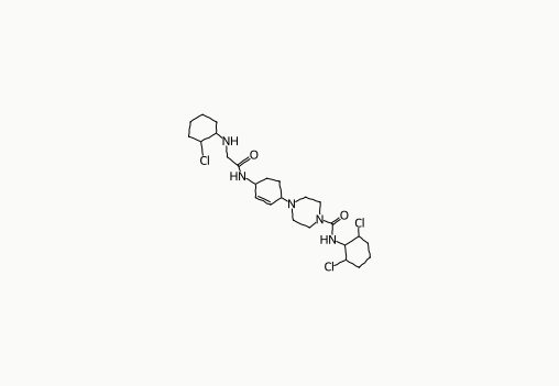 O=C(CNC1CCCCC1Cl)NC1C=CC(N2CCN(C(=O)NC3C(Cl)CCCC3Cl)CC2)CC1